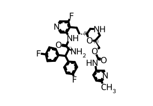 Cc1ccc(NC(=O)OC[C@@H]2CNC[C@@H](CCc3c(F)cncc3NC(=O)[C@@H](N)C(c3ccc(F)cc3)c3ccc(F)cc3)O2)cn1